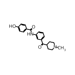 CN1CCC(C(=O)c2cccc(NC(=O)c3ccc(O)cc3)c2)CC1